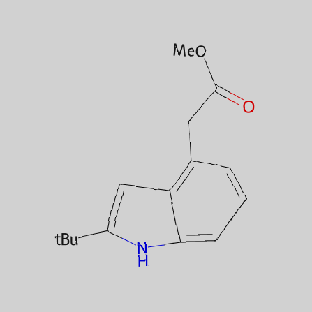 COC(=O)Cc1cccc2[nH]c(C(C)(C)C)cc12